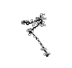 O=C(CCN1C(=O)C=CC1=O)NCCOCCOCCOCCOCCNc1c(NCCCCCCO[C@]2(C(=O)O)C[C@H](O)[C@@H](NC(=O)CO)[C@H]([C@H](O)[C@H](O)CNC(=O)Cc3ccc(-c4nnn[nH]4)cc3)O2)c(=O)c1=O